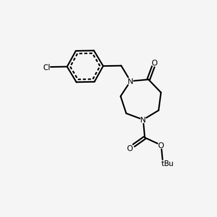 CC(C)(C)OC(=O)N1CCC(=O)N(Cc2ccc(Cl)cc2)CC1